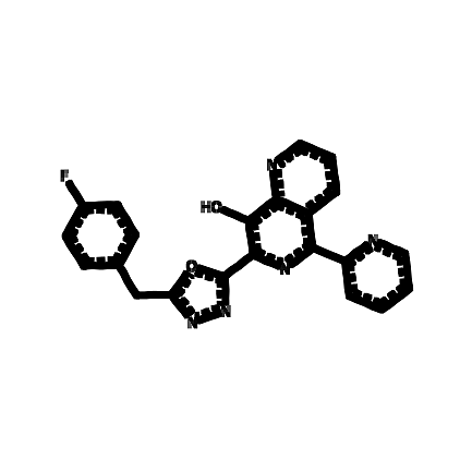 Oc1c(-c2nnc(Cc3ccc(F)cc3)o2)nc(-c2ccccn2)c2cccnc12